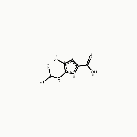 O=C(O)c1cc(Br)c(OC(F)F)s1